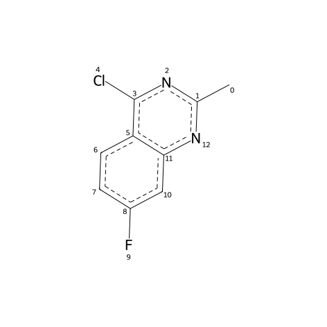 Cc1nc(Cl)c2ccc(F)cc2n1